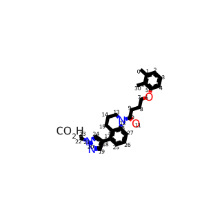 Cc1cccc(OCCCC(=O)N2CCCc3c(-c4cnn(CC(=O)O)c4)cccc32)c1C